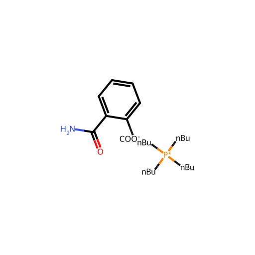 CCCC[P+](CCCC)(CCCC)CCCC.NC(=O)c1ccccc1C(=O)[O-]